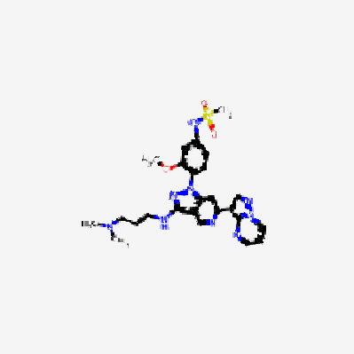 COc1cc(NS(C)(=O)=O)ccc1-n1nc(NCCCN(C)C)c2cnc(-c3cnn4cccnc34)cc21